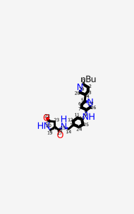 CCCCc1ccc(-c2ccc(Nc3ccc(CNC(=O)C4CNC(=O)C4)cc3)cn2)cn1